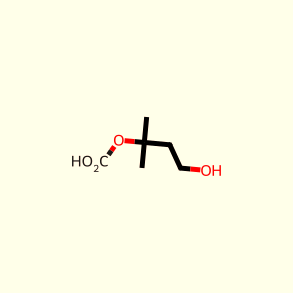 CC(C)(CCO)OC(=O)O